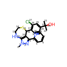 Cn1nc(-c2ccccn2)c2c1NCCSC2c1ccc(C(C)(C)O)cc1Cl